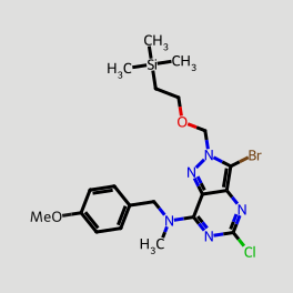 COc1ccc(CN(C)c2nc(Cl)nc3c(Br)n(COCC[Si](C)(C)C)nc23)cc1